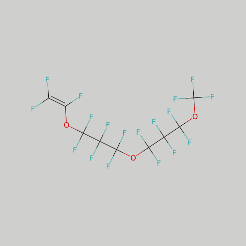 FC(F)=C(F)OC(F)(F)C(F)(F)C(F)(F)OC(F)(F)C(F)(F)C(F)(F)OC(F)(F)F